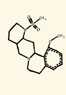 COc1cccc2c1C1CC3C(CCCN3S(C)(=O)=O)CN1CC2